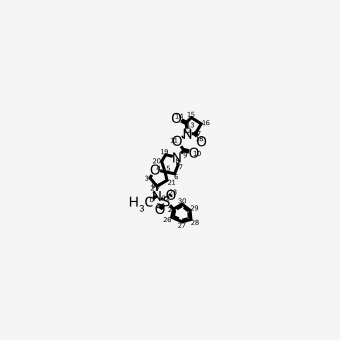 CN([C@H]1COC2(CCN(C(=O)ON3C(=O)CCC3=O)CC2)C1)S(=O)(=O)c1ccccc1